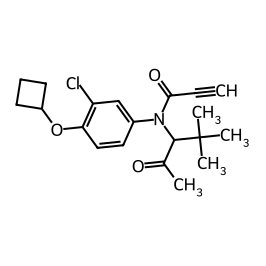 C#CC(=O)N(c1ccc(OC2CCC2)c(Cl)c1)C(C(C)=O)C(C)(C)C